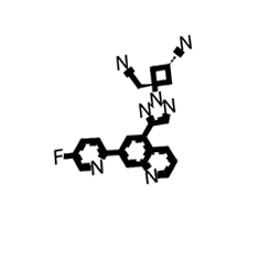 N#CC[C@]1(n2ncc(-c3cc(-c4ccc(F)cn4)cc4ncccc34)n2)C[C@@H](C#N)C1